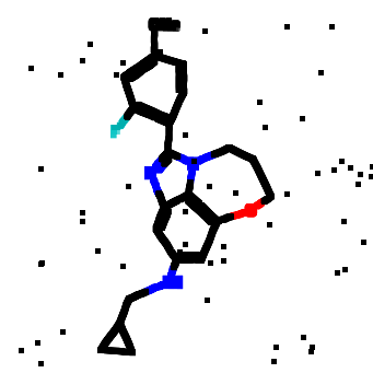 COc1ccc(-c2nc3cc(NCC4CC4)cc4c3n2CCCO4)c(F)c1